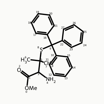 COC(=O)C(N)C(C)(C)SC(c1ccccc1)(c1ccccc1)c1ccccc1